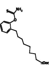 CCCCCCCCCCCCCCCCCCc1ccccc1OC(N)=S